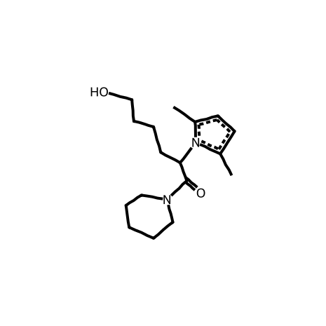 Cc1ccc(C)n1C(CCCCO)C(=O)N1CCCCC1